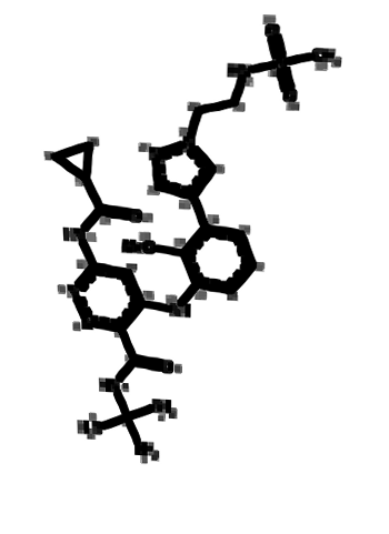 BC(B)(B)NC(=O)c1nnc(NC(=O)C2CC2)cc1Nc1cccc(-c2cnn(CCNS(C)(=O)=O)c2)c1OC